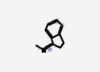 C/N=C1/CCc2ccccc21